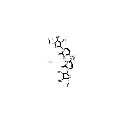 Cl.Nc1ccn([C@H]2O[C@H](CO)[C@@H](O)[C@H]2O)c(=O)[n+]1[C-2][n+]1c(N)ccn([C@H]2O[C@H](CO)[C@@H](O)[C@H]2O)c1=O